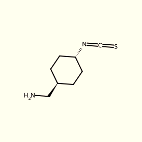 NC[C@H]1CC[C@H](N=C=S)CC1